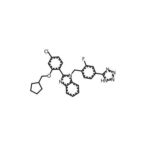 Fc1cc(-c2nnn[nH]2)ccc1Cn1c(-c2ccc(Cl)cc2OCC2CCCC2)nc2ccccc21